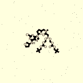 CN(CC1CCC(n2cnc3c(NC4CCOC4)nc(Cl)nc32)O1)C(=O)CP(OCOC(=O)OCC(C)(C)C)OCOC(=O)OCC(C)(C)C